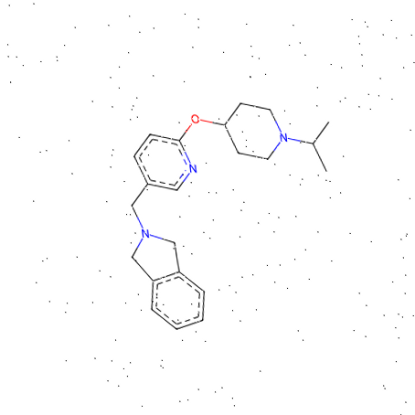 CC(C)N1CCC(Oc2ccc(CN3Cc4ccccc4C3)cn2)CC1